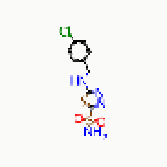 NS(=O)(=O)c1nnc(NCc2ccc(Cl)cc2)s1